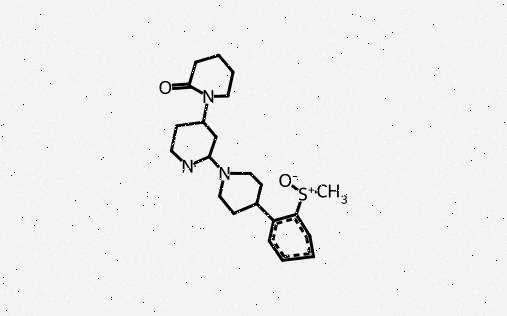 C[S+]([O-])c1ccccc1C1CCN(C2CC(N3CCCCC3=O)CC[N]2)CC1